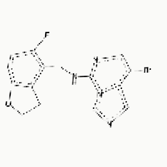 Fc1ccc2c(c1CNc1ncc(Br)c3cncn13)CCO2